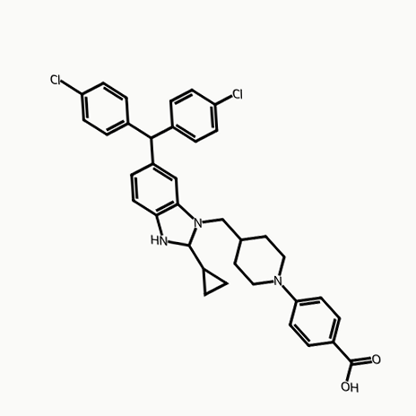 O=C(O)c1ccc(N2CCC(CN3c4cc(C(c5ccc(Cl)cc5)c5ccc(Cl)cc5)ccc4NC3C3CC3)CC2)cc1